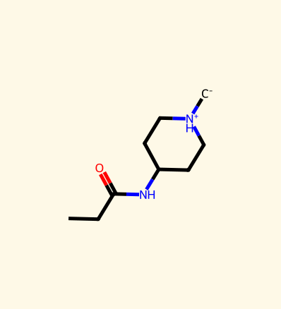 [CH2-][NH+]1CCC(NC(=O)CC)CC1